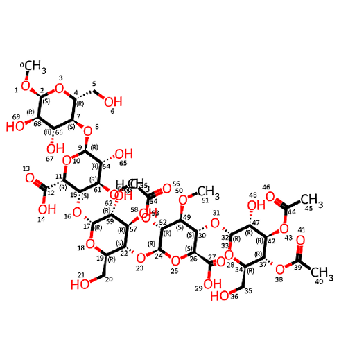 CO[C@H]1O[C@H](CO)[C@@H](O[C@@H]2O[C@@H](C(=O)O)[C@@H](O[C@H]3O[C@H](CO)[C@@H](O[C@@H]4O[C@H](C(=O)O)[C@@H](O[C@H]5O[C@H](CO)[C@@H](OC(C)=O)[C@H](OC(C)=O)[C@H]5O)[C@H](OC)[C@H]4OC(C)=O)[C@H](O)[C@H]3O)[C@H](OC)[C@H]2O)[C@H](O)[C@H]1O